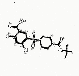 CC(C)(C)OC(=O)N1CCN(S(=O)(=O)c2cc(C(=O)O)c(Cl)cc2Cl)CC1